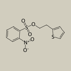 O=[N+]([O-])c1ccccc1S(=O)(=O)OCCc1cccs1